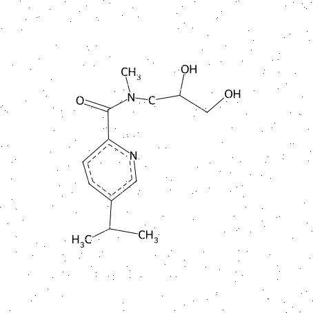 CC(C)c1ccc(C(=O)N(C)CC(O)CO)nc1